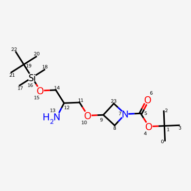 CC(C)(C)OC(=O)N1CC(OCC(N)CO[Si](C)(C)C(C)(C)C)C1